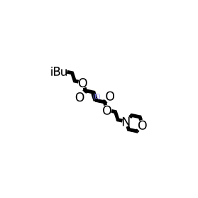 CCC(C)CCOC(=O)/C=C/C(=O)OCCN1CCOCC1